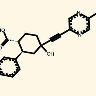 Cc1cnc(C#CC2(O)CC[C@@H](C(=O)O)[C@H](c3ccccc3)C2)cn1